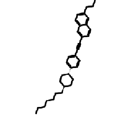 CCCCCCC[C@H]1CC[C@H](c2ccc(C#Cc3ccc4cc(CCC)ccc4c3)cc2)CC1